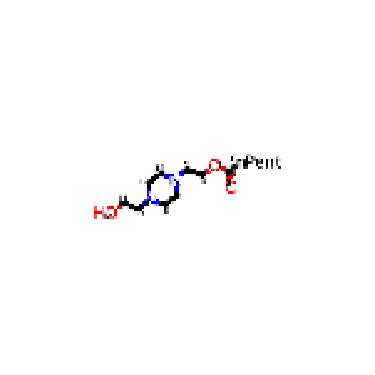 CCCCCC(=O)OCCN1CCN(CCO)CC1